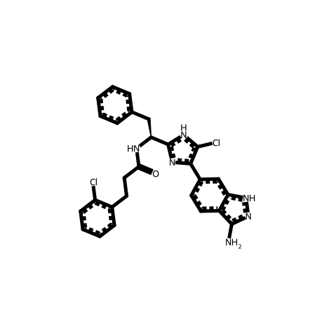 Nc1n[nH]c2cc(-c3nc([C@H](Cc4ccccc4)NC(=O)CCc4ccccc4Cl)[nH]c3Cl)ccc12